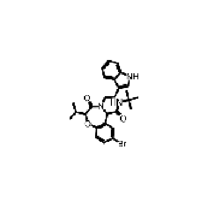 CC(C)C1Oc2ccc(Br)cc2C(C(=O)NC(C)(C)C)N(CCc2c[nH]c3ccccc23)C1=O